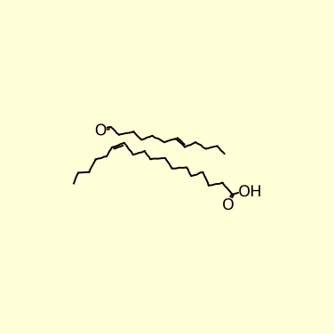 CCCC/C=C/CCCCCC=O.CCCCC/C=C\CCCCCCCCCCC(=O)O